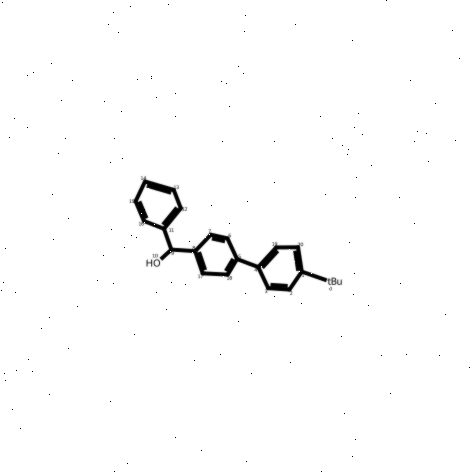 CC(C)(C)c1ccc(-c2ccc(C(O)c3ccccc3)cc2)cc1